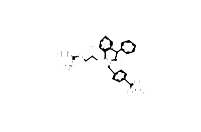 COC(=O)c1ccc(CN(C(=O)C(c2ccccc2)c2ccccc2)[C@H](CCCNC(N)=N[N+](=O)[O-])C(N)=O)cc1